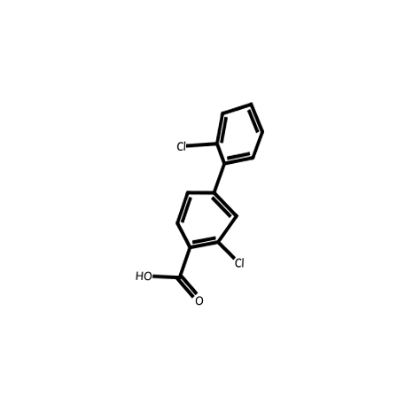 O=C(O)c1ccc(-c2ccccc2Cl)cc1Cl